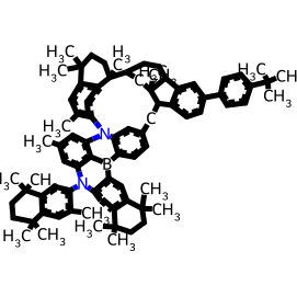 Cc1cc2c3c(c1)N(c1cc4c(cc1C)C(C)(C)CCC4(C)C)c1cc4c(cc1B3c1ccc3cc1N2c1cc2c(cc1C)C(C)(C)CCC2(C)C1CCC2(C)c5cc(-c6ccc(C(C)(C)C)cc6)ccc5C(C3)C2(C)C1)C(C)(C)CCC4(C)C